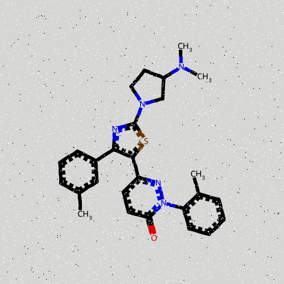 Cc1cccc(-c2nc(N3CCC(N(C)C)C3)sc2-c2ccc(=O)n(-c3ccccc3C)n2)c1